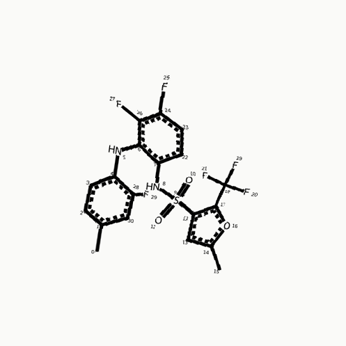 Cc1ccc(Nc2c(NS(=O)(=O)c3cc(C)oc3C(F)(F)F)ccc(F)c2F)c(F)c1